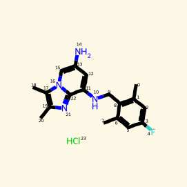 Cc1cc(F)cc(C)c1CNc1cc(N)cn2c(C)c(C)nc12.Cl